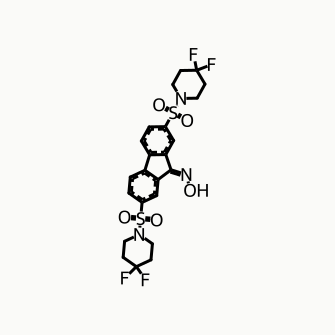 O=S(=O)(c1ccc2c(c1)C(=NO)c1cc(S(=O)(=O)N3CCC(F)(F)CC3)ccc1-2)N1CCC(F)(F)CC1